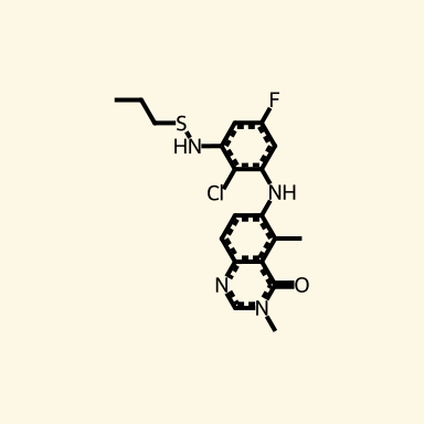 CCCSNc1cc(F)cc(Nc2ccc3ncn(C)c(=O)c3c2C)c1Cl